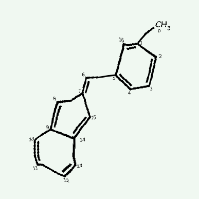 Cc1cccc(C=C2C=c3ccccc3=C2)c1